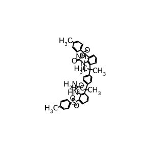 Cc1ccc(S(=O)(=O)c2cccc(C(C)(C)c3ccc(C(C)(C)c4cccc(S(=O)(=O)c5ccc(C)cc5)c4NC(N)=O)cc3)c2NC(N)=O)cc1